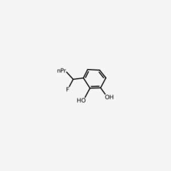 CCCC(F)c1cccc(O)c1O